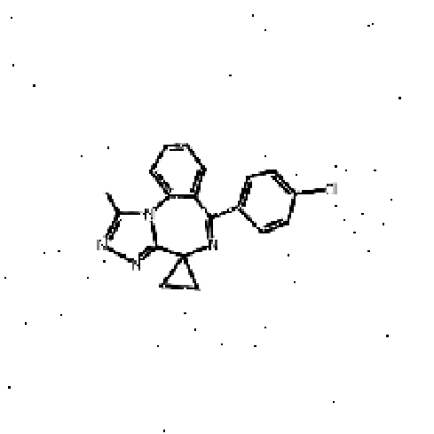 Cc1nnc2n1-c1ccccc1C(c1ccc(Cl)cc1)=NC21CC1